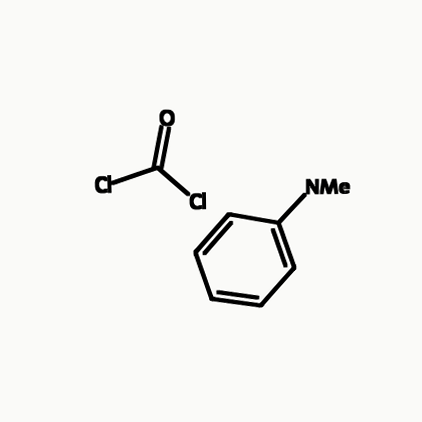 CNc1ccccc1.O=C(Cl)Cl